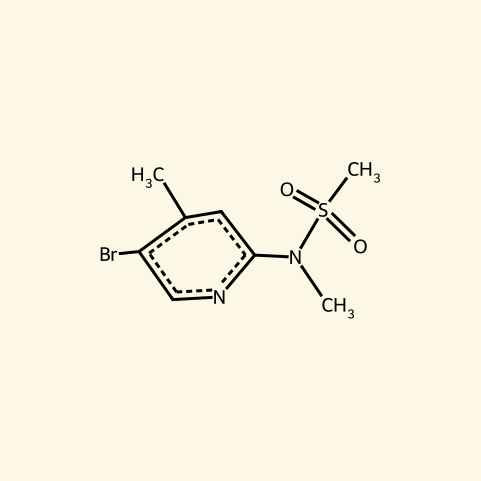 Cc1cc(N(C)S(C)(=O)=O)ncc1Br